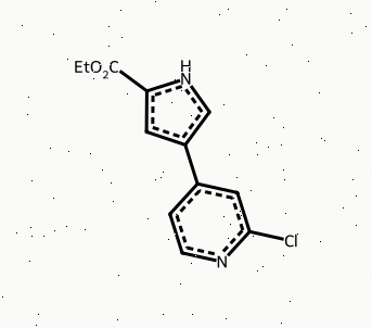 CCOC(=O)c1cc(-c2ccnc(Cl)c2)c[nH]1